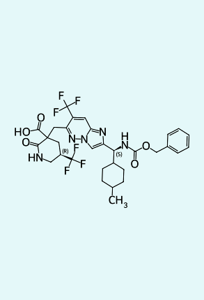 CC1CCC([C@H](NC(=O)OCc2ccccc2)c2cn3nc(CC4(C(=O)O)C[C@@H](C(F)(F)F)CNC4=O)c(C(F)(F)F)cc3n2)CC1